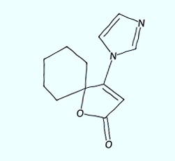 O=C1C=C(n2ccnc2)C2(CCCCC2)O1